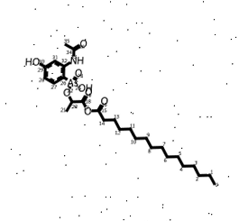 CCCCCCCCCCCCCCCC(=O)OC(=O)C(C)O[As](=O)(O)c1ccc(O)cc1NC(C)=O